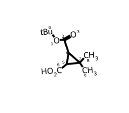 CC(C)(C)OC(=O)C1C(C(=O)O)C1(C)C